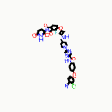 N#Cc1ccc(O[C@H]2CC[C@H](NC(=O)c3cnc(N4CCC(CN[C@H]5C[C@H](Oc6ccc7c(c6F)C(=O)N(C6CCC(=O)NC6=O)C7=O)C5)CC4)cn3)CC2)cc1Cl